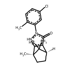 Cc1ccc(Cl)cc1-n1[nH]c2c(c1=O)[C@H]1CC[C@]2(C)C1(C)C